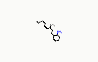 C=C(/C=C\C=C/C)CCC1=C(N)CCC=C1